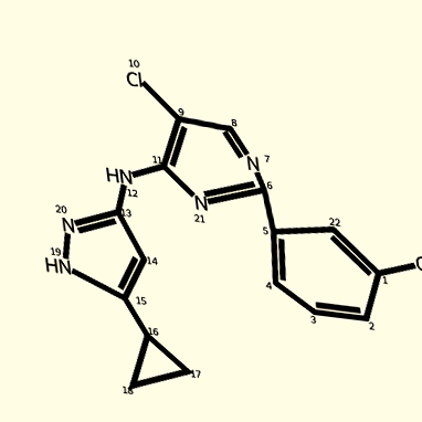 Oc1cccc(-c2ncc(Cl)c(Nc3cc(C4CC4)[nH]n3)n2)c1